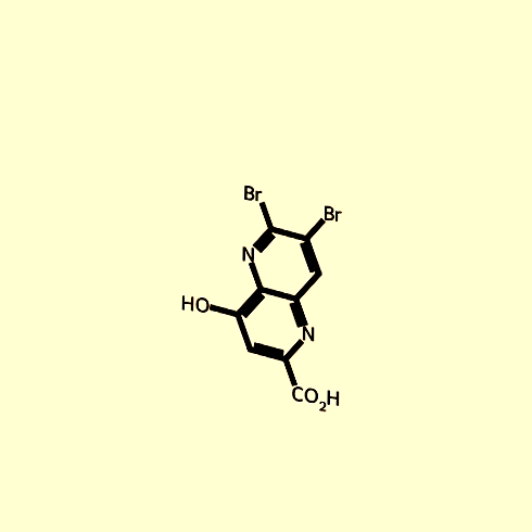 O=C(O)c1cc(O)c2nc(Br)c(Br)cc2n1